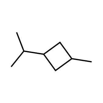 CC1CC(C(C)C)C1